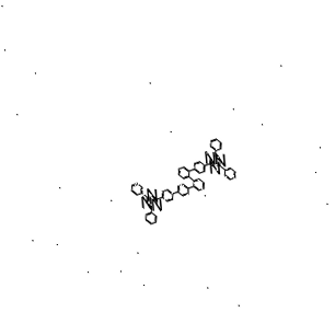 c1ccc(-c2nc(-c3ccccc3)nc(-c3ccc(-c4ccc(-c5ccccc5-c5ccccc5-c5ccc(-c6nc(-c7ccccc7)nc(-c7ccccc7)n6)cc5)cc4)cc3)n2)cc1